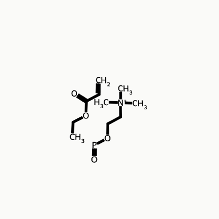 C=CC(=O)OCC.C[N+](C)(C)CCOP=O